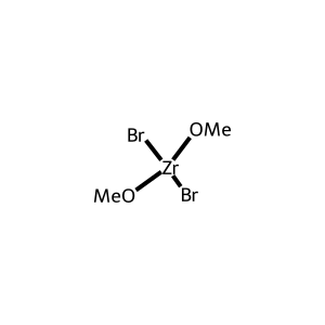 C[O][Zr]([Br])([Br])[O]C